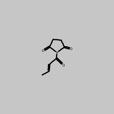 CC=CC(=O)N1C(=O)CCC1=O